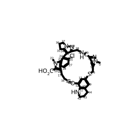 Cn1nc2cc1CSc1cc3c(c(c1)OCCCc1c(C(=O)O)n(C)c4c(c(Cl)ccc14)-c1c(nn4c1CCC4)CNC2)NCCC3